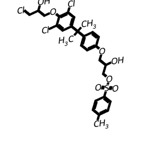 Cc1ccc(S(=O)(=O)OCC(O)COc2ccc(C(C)(C)c3cc(Cl)c(OCC(O)CCl)c(Cl)c3)cc2)cc1